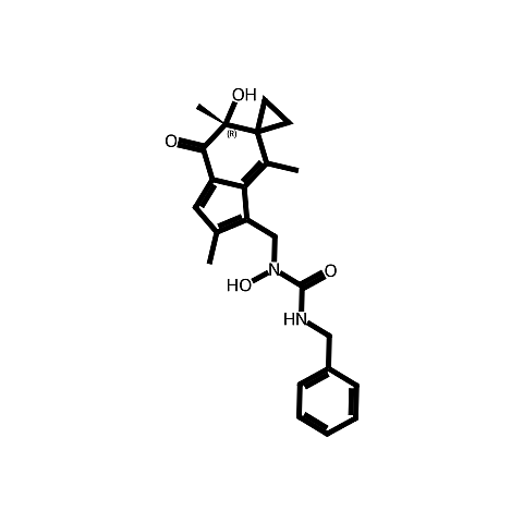 CC1=C(CN(O)C(=O)NCc2ccccc2)C2=C(C)C3(CC3)[C@@](C)(O)C(=O)C2=C1